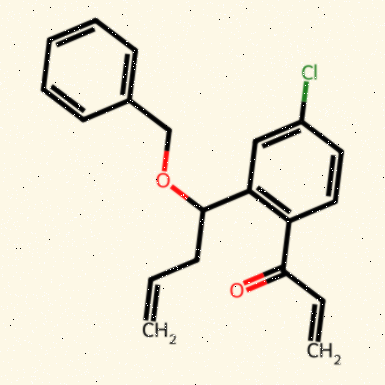 C=CCC(OCc1ccccc1)c1cc(Cl)ccc1C(=O)C=C